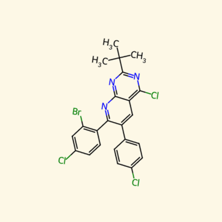 CC(C)(C)c1nc(Cl)c2cc(-c3ccc(Cl)cc3)c(-c3ccc(Cl)cc3Br)nc2n1